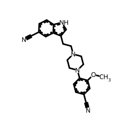 COc1cc(C#N)ccc1N1CCN(CCc2c[nH]c3ccc(C#N)cc23)CC1